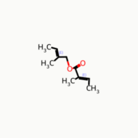 C/C=C(\C)COC(=O)/C(C)=C/C